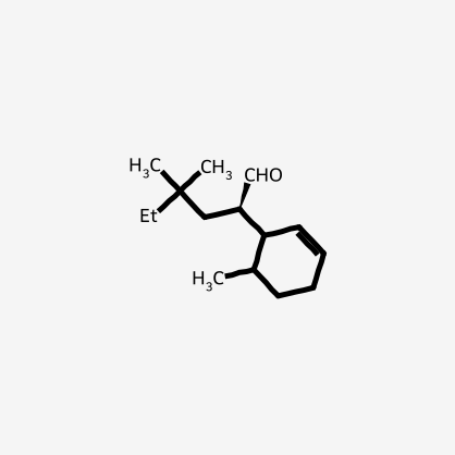 CCC(C)(C)C[C@@H](C=O)C1C=CCCC1C